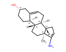 C[C@]12CC[C@H]3[C@@H](CC=C4C[C@@H](O)CC[C@@H]43)[C@@H]1CC=C2N